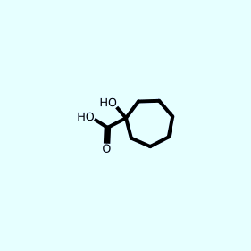 O=C(O)C1(O)CCCCCC1